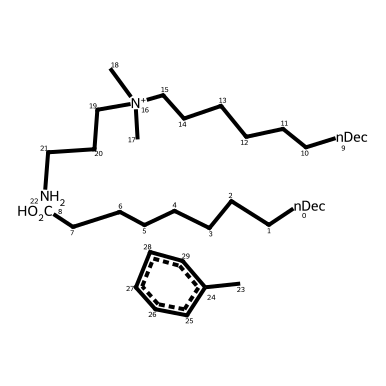 CCCCCCCCCCCCCCCCCC(=O)O.CCCCCCCCCCCCCCCC[N+](C)(C)CCCN.Cc1ccccc1